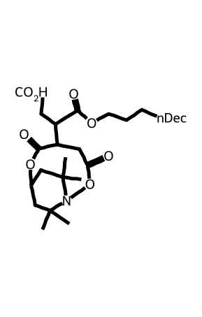 CCCCCCCCCCCCCOC(=O)C(CC(=O)O)C1CC(=O)ON2C(C)(C)CC(CC2(C)C)OC1=O